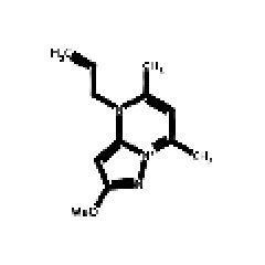 C=CCn1c(C)cc(C)[n+]2nc(OC)cc1-2